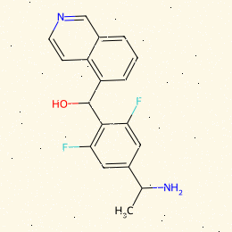 CC(N)c1cc(F)c(C(O)c2cccc3cnccc23)c(F)c1